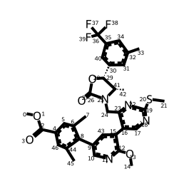 COC(=O)c1cc(C)c(-c2cnc(OC)c(-c3cnc(SC)nc3CN3C(=O)O[C@H](c4cc(C)cc(C(F)(F)F)c4)[C@@H]3C)c2)c(C)c1